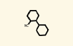 N#CC1CCCCC1C1CCCCC1